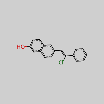 Oc1ccc2cc(C=C(Cl)c3ccccc3)ccc2c1